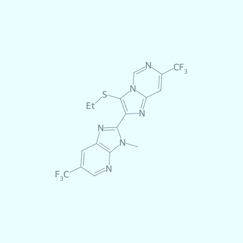 CCSc1c(-c2nc3cc(C(F)(F)F)cnc3n2C)nc2cc(C(F)(F)F)ncn12